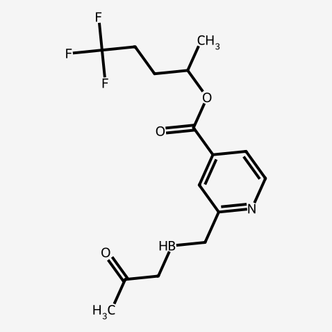 CC(=O)CBCc1cc(C(=O)OC(C)CCC(F)(F)F)ccn1